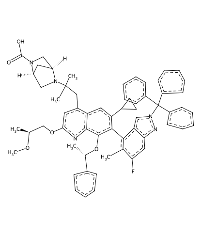 CO[C@@H](C)COc1cc(CC(C)(C)N2C[C@@H]3C[C@H]2CN3C(=O)O)c2cc(C3CC3)c(-c3c(C)c(F)cc4nn(C(c5ccccc5)(c5ccccc5)c5ccccc5)cc34)c(O[C@@H](C)c3ccccc3)c2n1